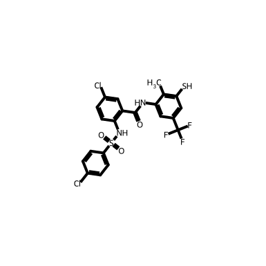 Cc1c(S)cc(C(F)(F)F)cc1NC(=O)c1cc(Cl)ccc1NS(=O)(=O)c1ccc(Cl)cc1